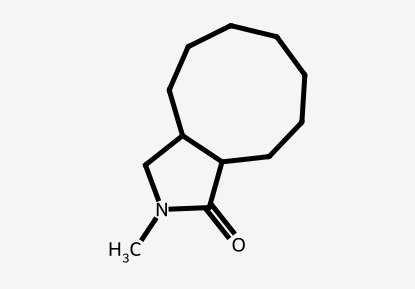 CN1CC2CCCCCCCC2C1=O